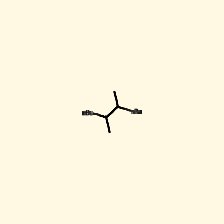 CCCC[C](C)C(C)CCCC